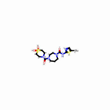 CC(C)(C)c1cnc(NC(=O)N2CCCN(C(=O)N3CCS(=O)(=O)CC3)CC2)s1